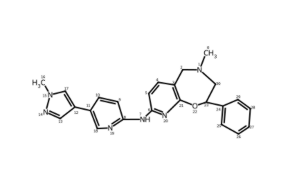 CN1Cc2ccc(Nc3ccc(-c4cnn(C)c4)cn3)nc2OC(c2ccccc2)C1